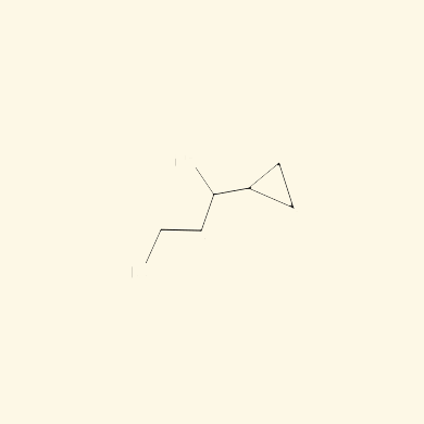 CC(C)C(CCO)C1CC1